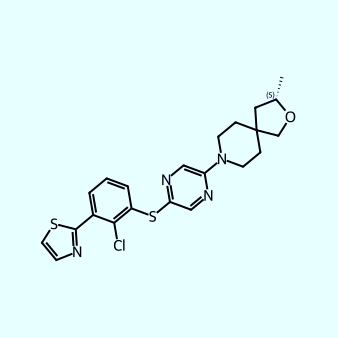 C[C@H]1CC2(CCN(c3cnc(Sc4cccc(-c5nccs5)c4Cl)cn3)CC2)CO1